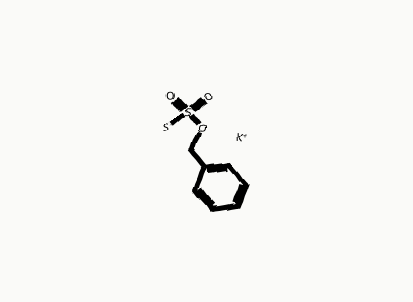 O=S(=O)([S-])OCc1ccccc1.[K+]